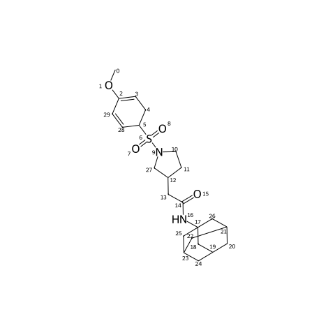 COC1=CCC(S(=O)(=O)N2CCC(CC(=O)NC34CC5CC(CC(C5)C3)C4)C2)C=C1